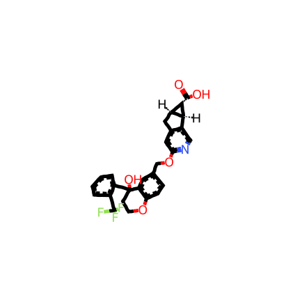 O=C(O)[C@H]1[C@@H]2Cc3cc(OCc4ccc5c(c4)C(O)(c4ccccc4C(F)(F)F)CCO5)ncc3[C@@H]21